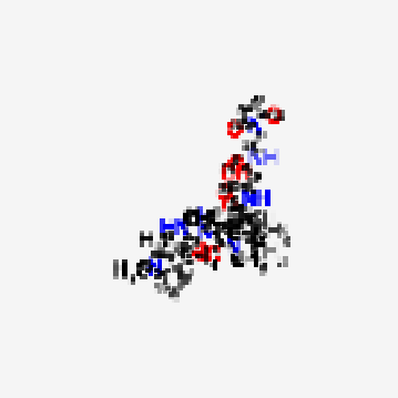 CN[C@H](C(=O)N[C@H]([C@H](O)N(C)[C@H](/C=C(\C)C(=O)N[C@@H](CC(=O)NCCN1C(=O)C=CC1=O)C(=O)O)C(C)C)C(C)(C)C)C(C)(C)c1cn(C)c2ccccc12